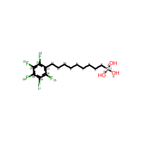 O[Si](O)(O)CCCCCCCCCc1c(F)c(F)c(F)c(F)c1F